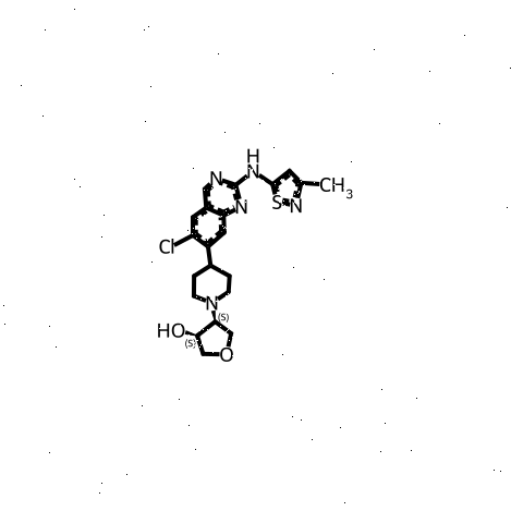 Cc1cc(Nc2ncc3cc(Cl)c(C4CCN([C@H]5COC[C@H]5O)CC4)cc3n2)sn1